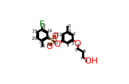 Cc1cc(OCCCO)cc(OS(=O)(=O)c2cc(F)ccc2C)c1